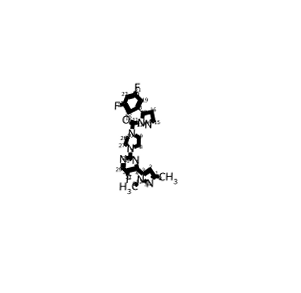 Cc1cc(-c2nc(N3CCN(C(=O)N4N=CC[C@H]4c4cc(F)cc(F)c4)CC3)ncc2F)n(C)n1